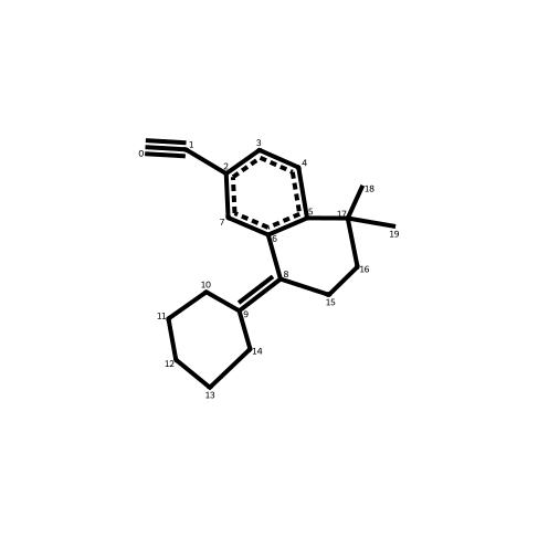 C#Cc1ccc2c(c1)C(=C1CCCCC1)CCC2(C)C